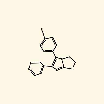 Fc1ccc(-c2c(-c3ccncc3)nc3n2CCS3)cc1